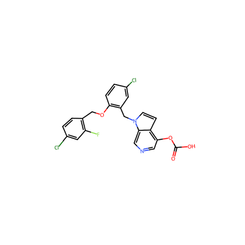 O=C(O)Oc1cncc2c1ccn2Cc1cc(Cl)ccc1OCc1ccc(Cl)cc1F